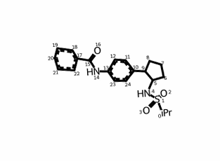 CC(C)S(=O)(=O)NC1CCCC1c1ccc(NC(=O)c2ccccc2)cc1